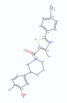 Cc1ccc(C2CCCN(C(=O)c3sc(-c4ccc(C(F)(F)F)cc4)nc3C)C2)cc1O